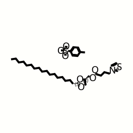 CCCCCCCCCCCCCCCCC[C@H]1OC[C@H](COC(=O)CCC[n+]2ccsc2)O1.Cc1ccc(S(=O)(=O)[O-])cc1